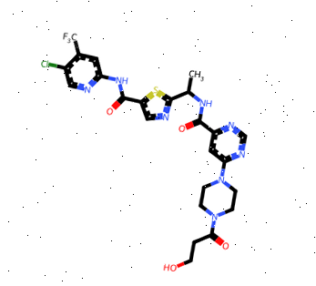 CC(NC(=O)c1cc(N2CCN(C(=O)CCO)CC2)ncn1)c1ncc(C(=O)Nc2cc(C(F)(F)F)c(Cl)cn2)s1